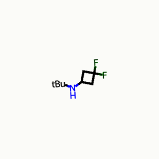 CC(C)(C)NC1CC(F)(F)C1